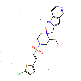 O=S(=O)(C=Cc1ccc(Cl)s1)N1CC[N+]([O-])(Cc2cc3cnccc3[nH]2)C(CO)C1